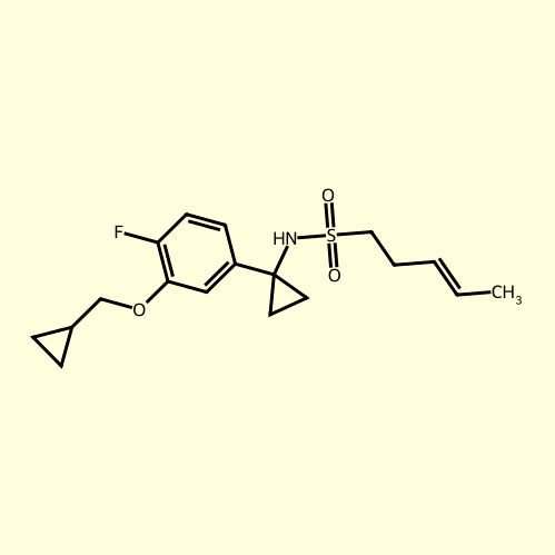 C/C=C/CCS(=O)(=O)NC1(c2ccc(F)c(OCC3CC3)c2)CC1